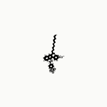 CCCCCCCCCCC(C)c1cc2ccccc2c(N=Nc2ccc(S(=O)(=O)[O-])cc2)c1-c1ccccc1.[Na+]